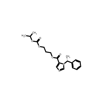 CC(C)OC(=O)OCCCOC(=O)c1cncn1[C@H](C)c1ccccc1